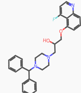 OC(COc1cccc2nccc(F)c12)CN1CCN(C(c2ccccc2)c2ccccc2)CC1